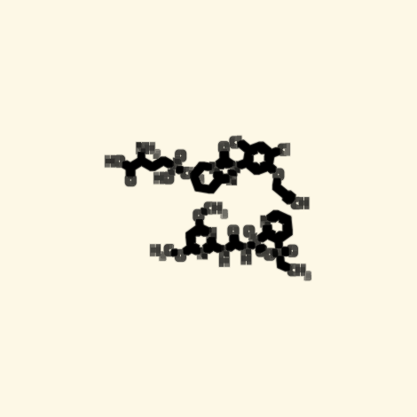 C#CCOc1cc(-n2nc3n(c2=O)CCCC3)c(Cl)cc1Cl.CCS(=O)(=O)c1cccnc1S(=O)(=O)NC(=O)Nc1nc(OC)cc(OC)n1.CP(=O)(O)CCC(N)C(=O)O